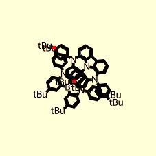 CC(C)(C)c1ccc(N2c3ccc(C(C)(C)C)cc3B3c4cc(C(C)(C)C)ccc4N(c4ccc(C(C)(C)C)cc4)c4cc(-n5c6c(N(c7ccc(C(C)(C)C)cc7)c7ccc(C(C)(C)C)cc7)cccc6c6cccc(N(c7ccc(C(C)(C)C)cc7)c7ccc(C(C)(C)C)cc7)c65)cc2c43)cc1